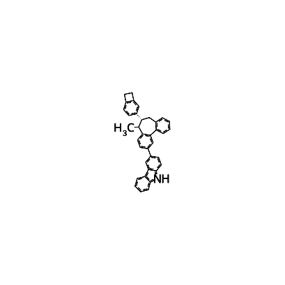 CC1c2ccc(-c3ccc4[nH]c5ccccc5c4c3)cc2-c2ccccc2C[C@H]1c1ccc2c(c1)CC2